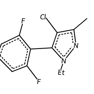 CCn1nc(C)c(Cl)c1-c1c(F)cccc1F